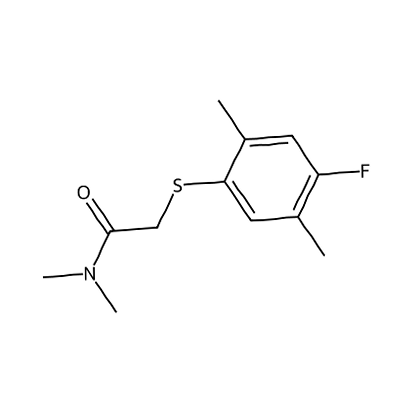 Cc1cc(SCC(=O)N(C)C)c(C)cc1F